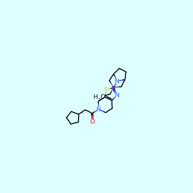 CCN1CC2CCC(C1)N2c1nc2c(s1)CN(C(=O)CC1CCCC1)CC2